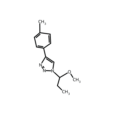 CCC(OC)n1cc(-c2ccc(C)cc2)nn1